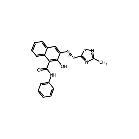 Cc1nsc(/N=N/c2cc3ccccc3c(C(=O)Nc3ccccc3)c2O)n1